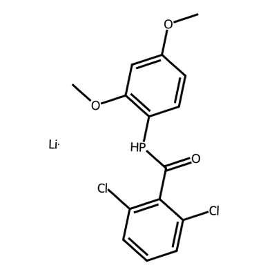 COc1ccc(PC(=O)c2c(Cl)cccc2Cl)c(OC)c1.[Li]